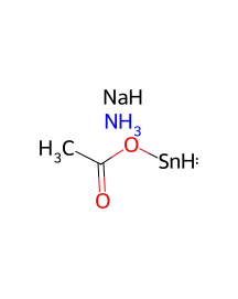 CC(=O)[O][SnH].N.[NaH]